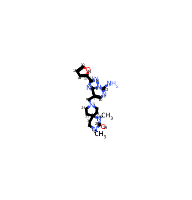 CN1CCC2(CCN(Cc3cnc(N)n4nc(-c5ccco5)nc34)CC2)N(C)C1=O